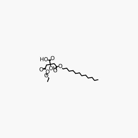 CCCCCCCCCCCCOC(=O)CC(O)(CC(=O)OOCC)C(=O)O